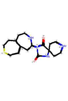 O=C1NC2(CCNCC2)C(=O)N1C1CC2CCSCCC2CCN1